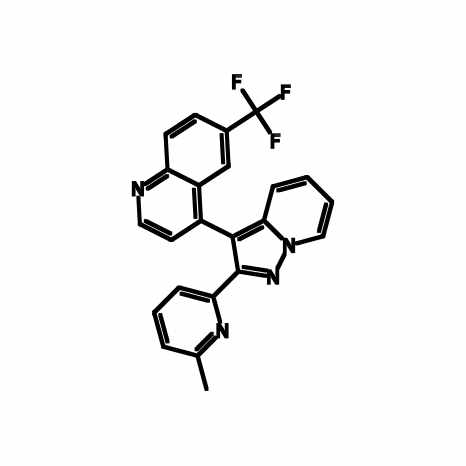 Cc1cccc(-c2nn3ccccc3c2-c2ccnc3ccc(C(F)(F)F)cc23)n1